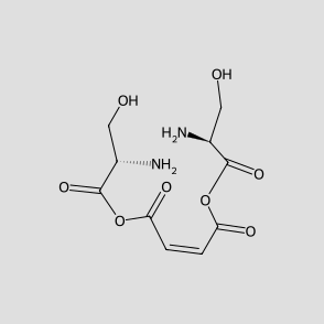 N[C@@H](CO)C(=O)OC(=O)/C=C\C(=O)OC(=O)[C@@H](N)CO